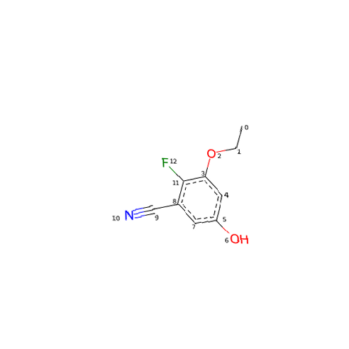 CCOc1cc(O)cc(C#N)c1F